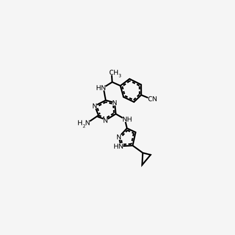 CC(Nc1nc(N)nc(Nc2cc(C3CC3)[nH]n2)n1)c1ccc(C#N)cc1